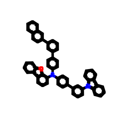 c1cc(-c2ccc(N(c3ccc(-c4cccc(-n5c6ccccc6c6ccccc65)c4)cc3)c3cccc4c3oc3ccccc34)cc2)cc(-c2ccc3ccccc3c2)c1